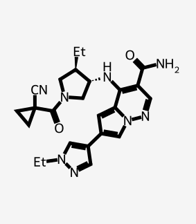 CC[C@@H]1CN(C(=O)C2(C#N)CC2)C[C@H]1Nc1c(C(N)=O)cnn2cc(-c3cnn(CC)c3)cc12